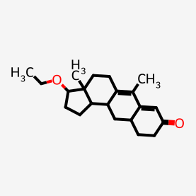 CCOC1CCC2C3CC4CCC(=O)C=C4C(C)=C3CCC12C